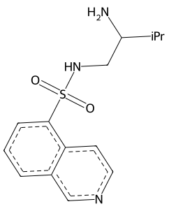 CC(C)C(N)CNS(=O)(=O)c1cccc2cnccc12